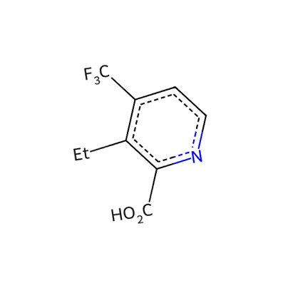 CCc1c(C(F)(F)F)ccnc1C(=O)O